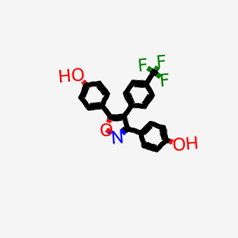 Oc1ccc(-c2noc(-c3ccc(O)cc3)c2-c2ccc(C(F)(F)F)cc2)cc1